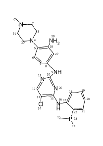 CN1CCN(c2ccc(Nc3ncc(Cl)c(Nc4ccccc4P(C)C)n3)cc2N)CC1